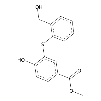 COC(=O)c1ccc(O)c(Sc2ccccc2CO)c1